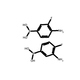 Nc1cc(B(O)O)ccc1F.Nc1ccc(B(O)O)cc1F